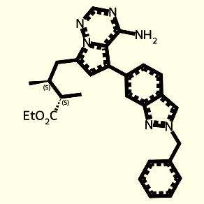 CCOC(=O)[C@@H](C)[C@@H](C)Cc1cc(-c2ccc3cn(Cc4ccccc4)nc3c2)c2c(N)ncnn12